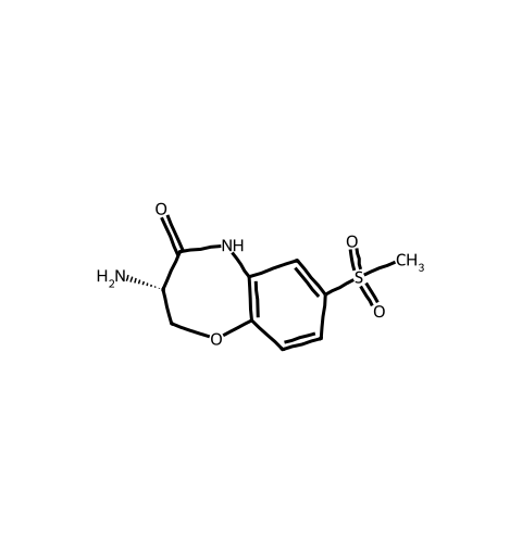 CS(=O)(=O)c1ccc2c(c1)NC(=O)[C@@H](N)CO2